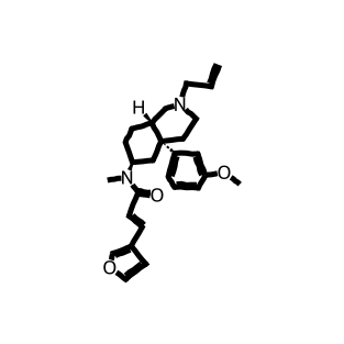 C=CCN1CC[C@@]2(c3cccc(OC)c3)C[C@@H](N(C)C(=O)/C=C/c3ccoc3)CC[C@@H]2C1